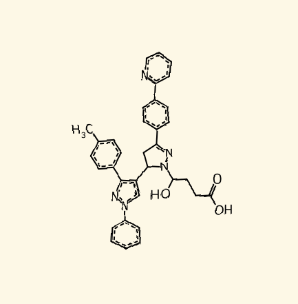 Cc1ccc(-c2nn(-c3ccccc3)cc2C2CC(c3ccc(-c4ccccn4)cc3)=NN2C(O)CCC(=O)O)cc1